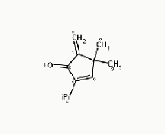 C=C1C(=O)C(C(C)C)=CC1(C)C